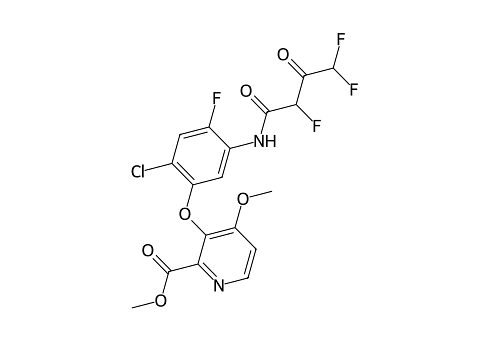 COC(=O)c1nccc(OC)c1Oc1cc(NC(=O)C(F)C(=O)C(F)F)c(F)cc1Cl